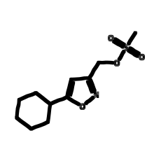 CS(=O)(=O)OCc1cc(C2CCCCC2)on1